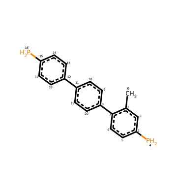 Cc1cc(P)ccc1-c1ccc(-c2ccc(P)cc2)cc1